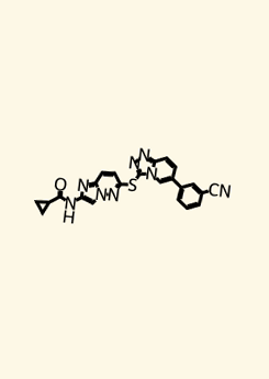 N#Cc1cccc(-c2ccc3nnc(Sc4ccc5nc(NC(=O)C6CC6)cn5n4)n3c2)c1